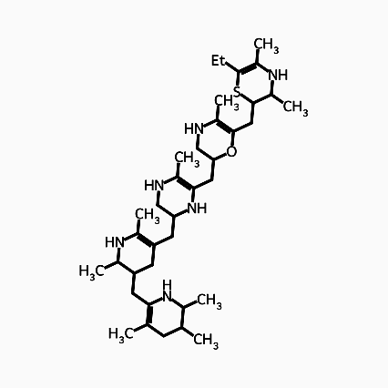 CCC1=C(C)NC(C)C(CC2=C(C)NCC(CC3=C(C)NCC(CC4=C(C)NC(C)C(CC5=C(C)CC(C)C(C)N5)C4)N3)O2)S1